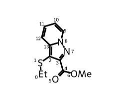 CCSc1c(C(=O)OC)nn2ccccc12